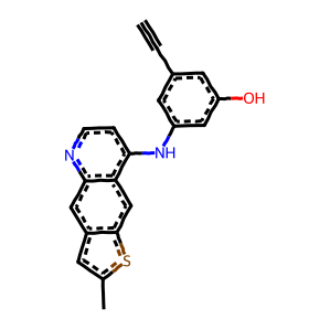 C#Cc1cc(O)cc(Nc2ccnc3cc4cc(C)sc4cc23)c1